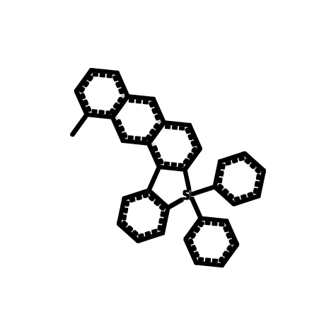 Cc1cccc2cc3ccc4c(c3cc12)-c1ccccc1[Si]4(c1ccccc1)c1ccccc1